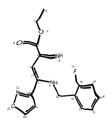 CCOC(=O)C(=N)/C=C(\NCc1ccccc1F)c1ccon1